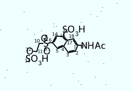 CC(=O)Nc1ccc2cc(S(=O)(=O)CCOS(=O)(=O)O)cc(S(=O)(=O)O)c2c1